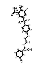 Cc1cc(S(=O)(=O)c2ccc(CCNC[C@H](O)c3cccc(Cl)c3)cc2)cc(C(N)=O)c1O